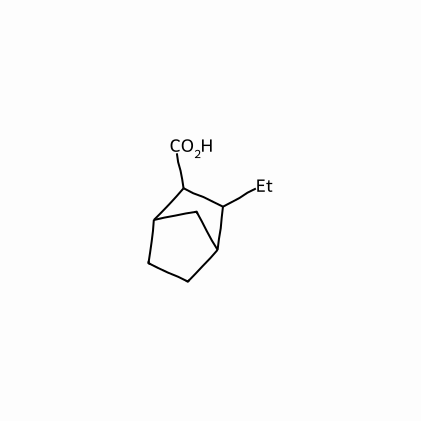 CCC1C2CCC(C2)C1C(=O)O